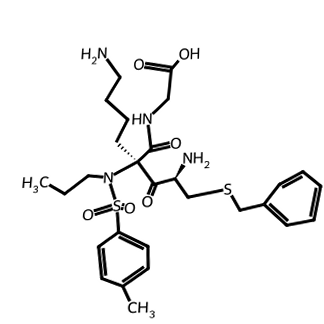 CCCN([C@@](CCCCN)(C(=O)NCC(=O)O)C(=O)[C@@H](N)CSCc1ccccc1)S(=O)(=O)c1ccc(C)cc1